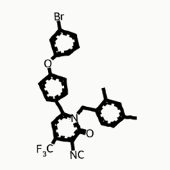 [C-]#[N+]c1c(C(F)(F)F)cc(-c2ccc(Oc3cccc(Br)c3)cc2)n(Cc2ccc(C)cc2C)c1=O